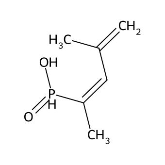 C=C(C)C=C(C)[PH](=O)O